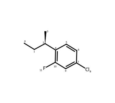 CC[C@@H](C)c1ccc(Cl)cc1F